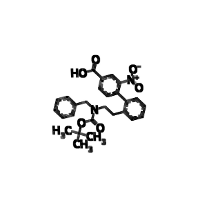 CC(C)(C)OC(=O)N(CCc1ccccc1-c1ccc(C(=O)O)cc1[N+](=O)[O-])Cc1ccccc1